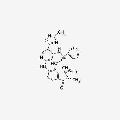 Cc1noc(-c2cnc(Nc3ncc4c(n3)C(C)(C)N(C)C4=O)cc2N[C@H](CO)c2ccccc2)n1